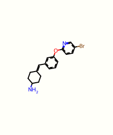 NC1CCC(=Cc2cccc(Oc3ccc(Br)cn3)c2)CC1